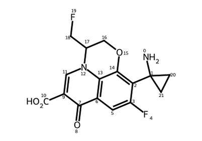 NC1(c2c(F)cc3c(=O)c(C(=O)O)cn4c3c2OCC4CF)CC1